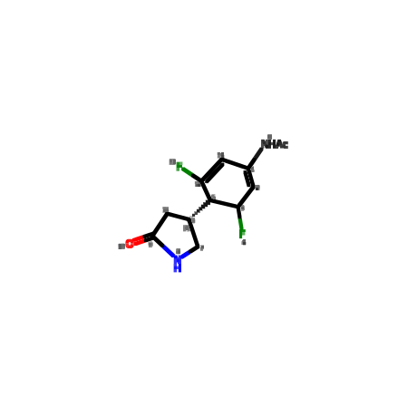 CC(=O)NC1=CC(F)C([C@@H]2CNC(=O)C2)C(F)=C1